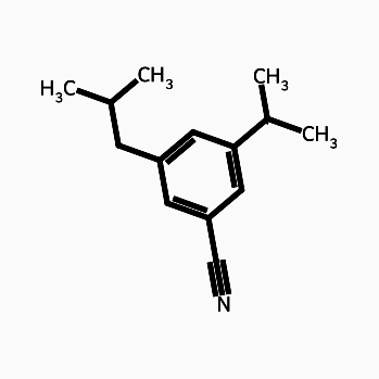 C[C](C)c1cc(C#N)cc(CC(C)C)c1